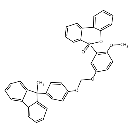 COc1ccc(OCOc2ccc(C3(C)c4ccccc4-c4ccccc43)cc2)cc1P1(=O)Oc2ccccc2-c2ccccc21